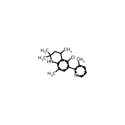 Cc1cccnc1-c1cc(C)c2c(c1Cl)C(C)CC(C)(C)N2